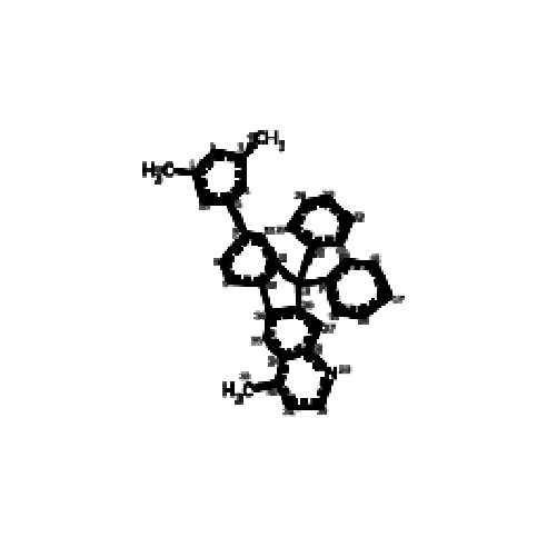 Cc1cc(C)cc(-c2ccc3c(c2)C(c2ccccc2)(c2ccccc2)c2cc4nccc(C)c4cc2-3)c1